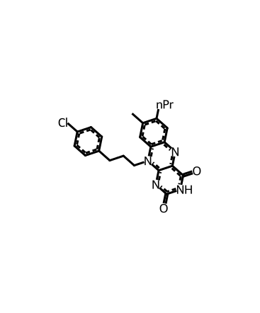 CCCc1cc2nc3c(=O)[nH]c(=O)nc-3n(CCCc3ccc(Cl)cc3)c2cc1C